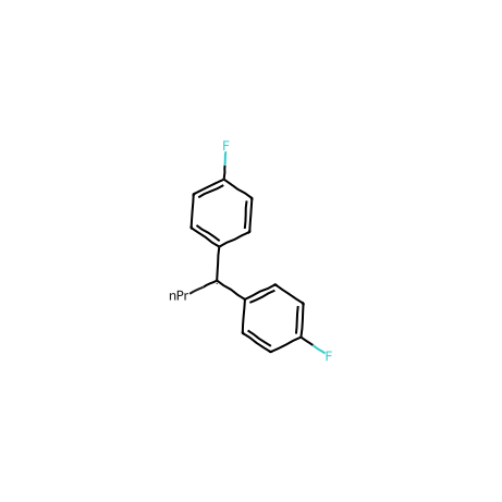 CCC[C](c1ccc(F)cc1)c1ccc(F)cc1